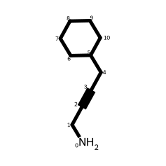 NCC#CCC1CCCCC1